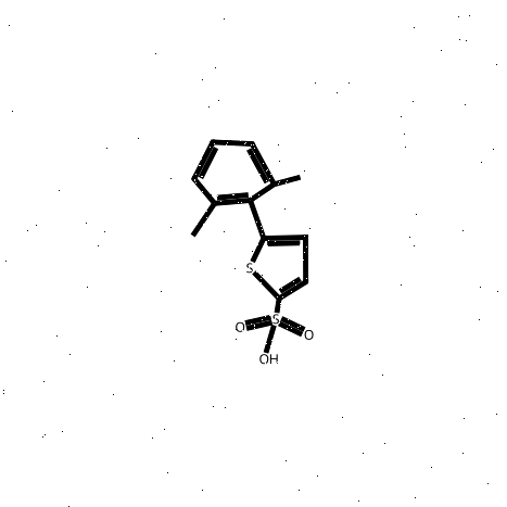 Cc1cccc(C)c1-c1ccc(S(=O)(=O)O)s1